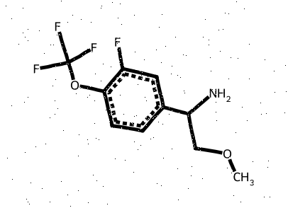 COCC(N)c1ccc(OC(F)(F)F)c(F)c1